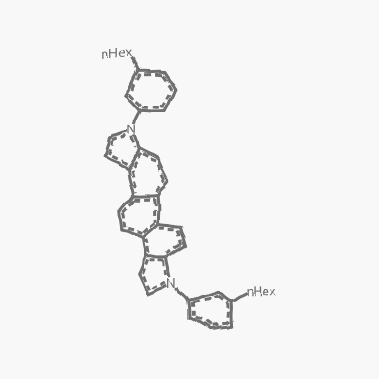 CCCCCCc1cccc(-n2ccc3c4ccc5c(ccc6c5ccn6-c5cccc(CCCCCC)c5)c4ccc32)c1